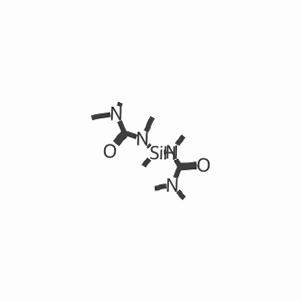 CN(C)C(=O)N(C)[SiH](C)N(C)C(=O)N(C)C